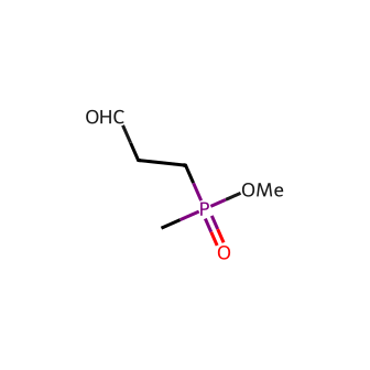 COP(C)(=O)CCC=O